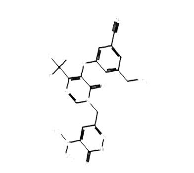 CCc1cc(C#N)cc(Oc2c(C(F)(F)F)ncn(Cc3cc(N(C)C)c(=O)[nH]n3)c2=O)c1